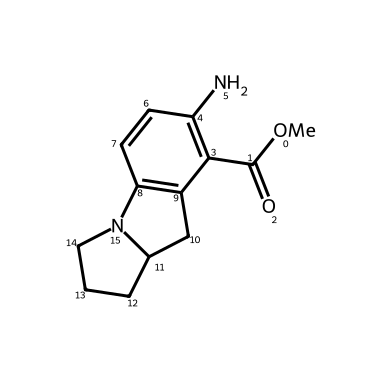 COC(=O)c1c(N)ccc2c1CC1CCCN21